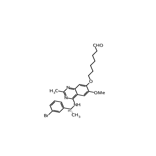 COc1cc2c(N[C@H](C)c3cccc(Br)c3)nc(C)nc2cc1OCCCCCCC=O